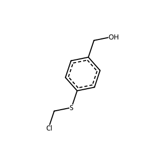 OCc1ccc(SCCl)cc1